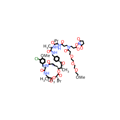 COCCOCCOCCOCCC(=O)N(CCC(=O)N[C@H](C(=O)N[C@@H](C)C(=O)NCc1ccc([C@H]2O[C@@H]2[C@@H](C)[C@@H]2C/C=C/C(=O)N[C@@H](Cc3ccc(OC)c(Cl)c3)C(=O)NCC(C)(C)C(=O)O[C@@H](CC(C)C)C(=O)O2)cc1)C(C)C)CCC(=O)ON1C(=O)CCC1=O